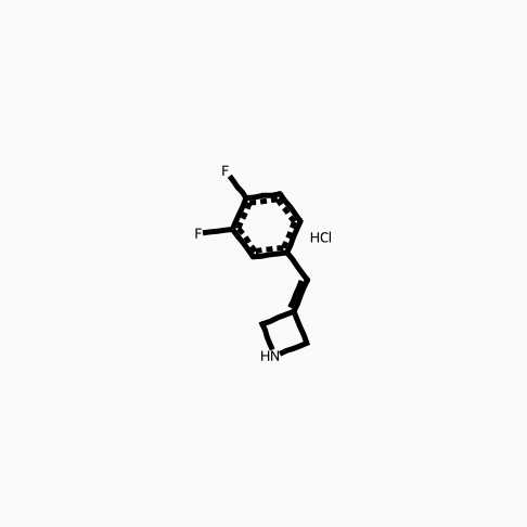 Cl.Fc1ccc(C=C2CNC2)cc1F